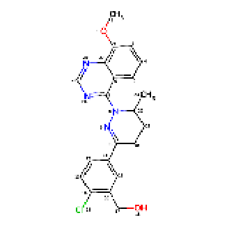 COc1cccc2c(N3N=C(c4ccc(Cl)c(CO)c4)CCC3C)ncnc12